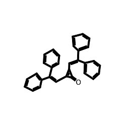 O=c1c(C=C(c2ccccc2)c2ccccc2)c1C=C(c1ccccc1)c1ccccc1